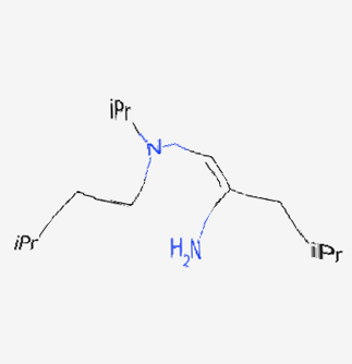 CC(C)CCN(/C=C(\N)CC(C)C)C(C)C